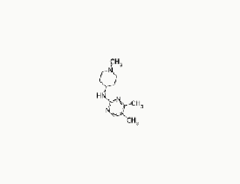 Cc1cnc(NC2CCN(C)CC2)nc1C